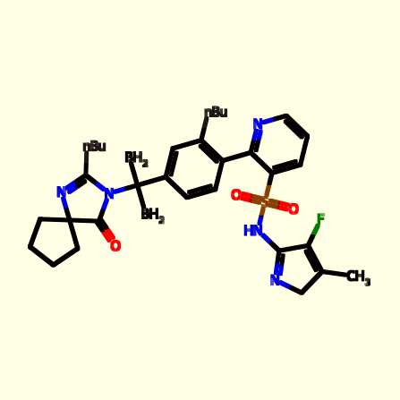 BC(B)(c1ccc(-c2ncccc2S(=O)(=O)NC2=NCC(C)=C2F)c(CCCC)c1)N1C(=O)C2(CCCC2)N=C1CCCC